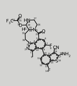 Cc1nn2c3c(cc(F)c(-c4ccc(F)c5sc(N)c(C#N)c45)c13)C(=O)N1CCNC(OC(=O)C(F)(F)F)[C@@H]1CC2